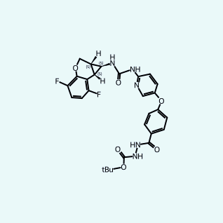 CC(C)(C)OC(=O)NNC(=O)c1ccc(Oc2ccc(NC(=O)N[C@@H]3[C@H]4COc5c(F)ccc(F)c5[C@H]43)nc2)cc1